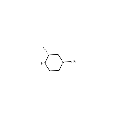 CCCN1CCN[C@H](C)C1